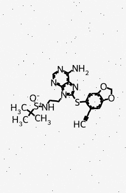 C#Cc1cc2c(cc1Sc1nc3c(N)ncnc3n1CCN[S+]([O-])C(C)(C)C)OCO2